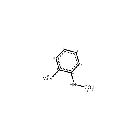 CSc1ccccc1NC(=O)O